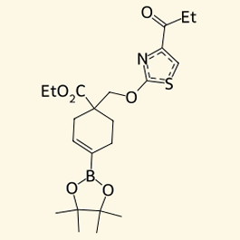 CCOC(=O)C1(COc2nc(C(=O)CC)cs2)CC=C(B2OC(C)(C)C(C)(C)O2)CC1